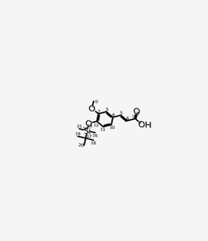 COc1cc(C=CC(=O)O)ccc1O[Si](C)(C)C(C)(C)C